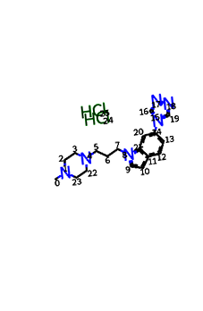 CN1CCN(CCCn2ccc3ccc(-n4cnnc4)cc32)CC1.Cl.Cl